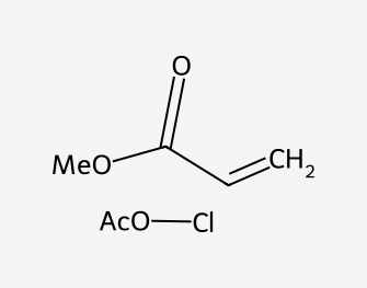 C=CC(=O)OC.CC(=O)OCl